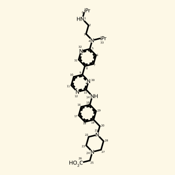 CC(C)NCCN(c1ccc(-c2ccnc(Nc3cccc(CN4CCN(CC(=O)O)CC4)c3)n2)cn1)C(C)C